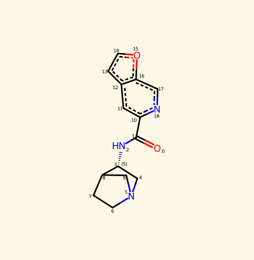 O=C(N[C@@H]1CN2CCC1C2)c1cc2ccoc2cn1